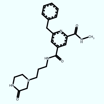 CNC(=O)c1cc(C(=O)NCCCN2CCNC(=O)C2)cc(Cc2ccccc2)n1